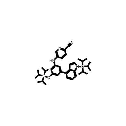 CC(C)[Si](Oc1cc(Nc2ccc(C#N)nc2)cc(-c2cccc3c2ccn3[Si](C(C)C)(C(C)C)C(C)C)c1)(C(C)C)C(C)C